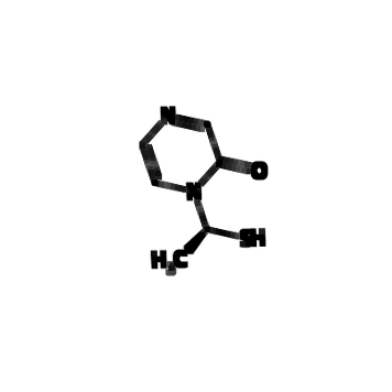 C[C@H](S)n1ccncc1=O